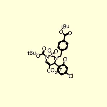 CCOC(=O)C1=CN(C(=O)OC(C)(C)C)S(=O)(=O)N(Cc2ccc(C(=O)OC(C)(C)C)cc2)C1c1ccc(Cl)cc1Cl